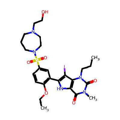 CCCn1c(=O)n(C)c(=O)c2[nH]c(-c3cc(S(=O)(=O)N4CCCN(CCO)CC4)ccc3OCC)c(I)c21